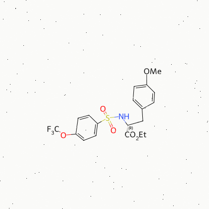 CCOC(=O)[C@@H](Cc1ccc(OC)cc1)NS(=O)(=O)c1ccc(OC(F)(F)F)cc1